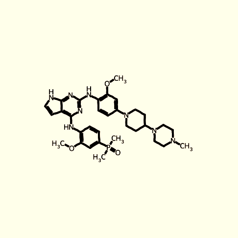 COc1cc(N2CCC(N3CCN(C)CC3)CC2)ccc1Nc1nc(Nc2ccc(P(C)(C)=O)cc2OC)c2cc[nH]c2n1